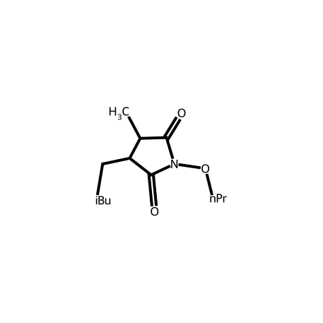 CCCON1C(=O)C(C)C(CC(C)CC)C1=O